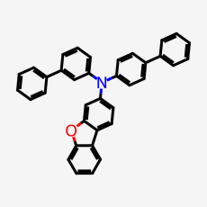 c1ccc(-c2ccc(N(c3cccc(-c4ccccc4)c3)c3ccc4c(c3)oc3ccccc34)cc2)cc1